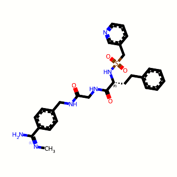 C/N=C(/N)c1ccc(CNC(=O)CNC(=O)[C@@H](CCc2ccccc2)NS(=O)(=O)Cc2cccnc2)cc1